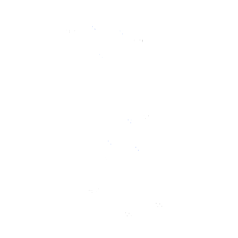 COc1cc2[nH]c(N(C)Cc3cccc(N=C4N(C)CCN4C)c3)nc(=O)c2c(C)c1OC